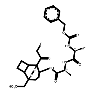 CC(C)[C@H](NC(=O)OCc1ccccc1)C(=O)N[C@@H](C)C(=O)NC1CCC2(CC(=O)O)CCC1(C(=O)CF)C1CCC12